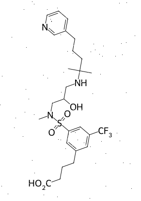 CN(CC(O)CNC(C)(C)CCCc1cccnc1)S(=O)(=O)c1cc(CCCC(=O)O)cc(C(F)(F)F)c1